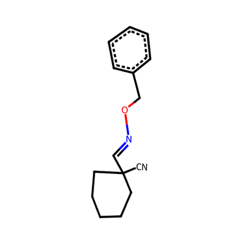 N#CC1(C=NOCc2ccccc2)CCCCC1